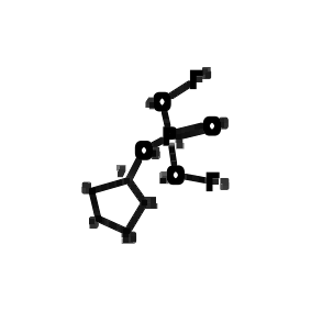 O=P(OF)(OF)OC1CCCC1